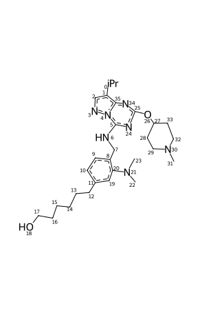 CC(C)c1cnn2c(NCc3ccc(CCCCCCO)cc3N(C)C)nc(OC3CCN(C)CC3)nc12